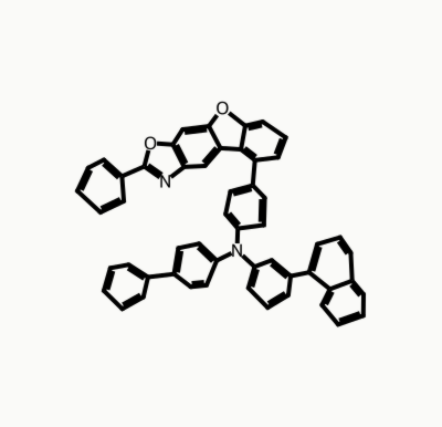 c1ccc(-c2ccc(N(c3ccc(-c4cccc5oc6cc7oc(-c8ccccc8)nc7cc6c45)cc3)c3cccc(-c4cccc5ccccc45)c3)cc2)cc1